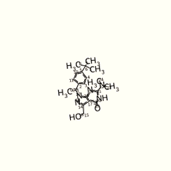 C[C@H](c1ccc(C(C)(C)C)cc1)n1nc(CO)c2c(=O)[nH]c(N(C)C)nc21